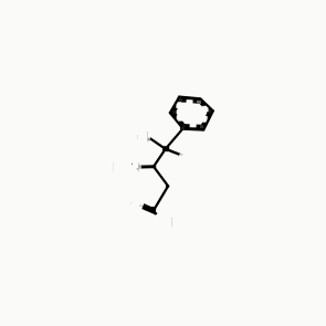 NC(CC(=O)O)C(Cl)(Cl)c1ccccc1